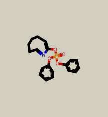 O=P(OC1=C/CCCC\C=N\1)(Oc1ccccc1)Oc1ccccc1